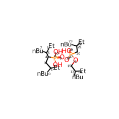 CCCCC(CC)CC(C(CC)CCCC)P(=O)(O)O.CCCCC(CC)COP(=O)(O)CC(CC)CCCC